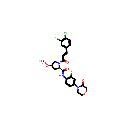 CO[C@@H]1C[C@H](C(=O)Nc2ccc(N3CCOCC3=O)cc2F)N(C(=O)C=Cc2ccc(Cl)c(Cl)c2)C1